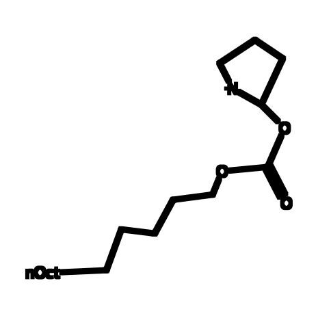 CCCCCCCCCCCCCOC(=O)OC1CCC[N]1